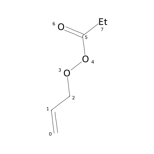 C=CCOOC(=O)CC